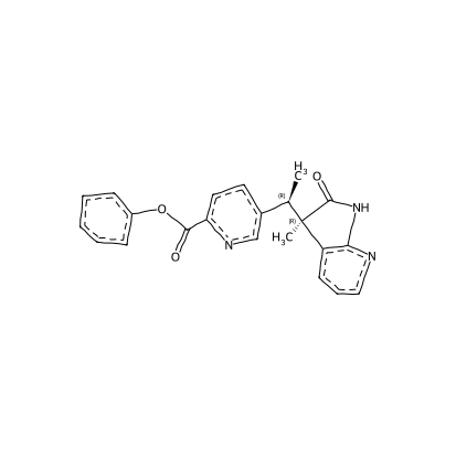 C[C@H](c1ccc(C(=O)Oc2ccccc2)nc1)[C@@]1(C)C(=O)Nc2ncccc21